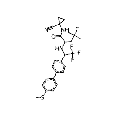 CSc1ccc(-c2ccc(C(NC(CC(C)(C)F)C(=O)NC3(C#N)CC3)C(F)(F)F)cc2)cc1